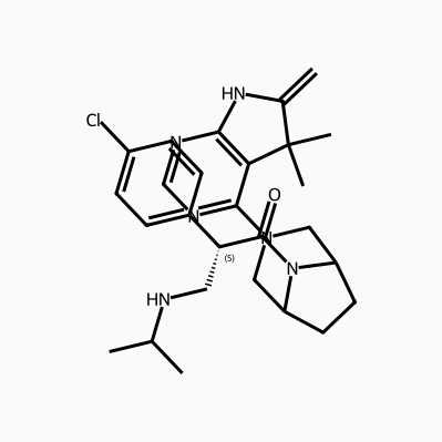 C=C1Nc2ncnc(N3CC4CCC(C3)N4C(=O)[C@H](CNC(C)C)c3ccc(Cl)cc3)c2C1(C)C